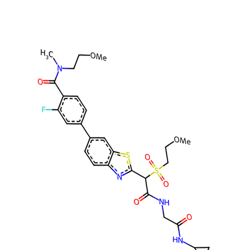 COCCN(C)C(=O)c1ccc(-c2ccc3nc(C(C(=O)NCC(=O)NC4CC4)S(=O)(=O)CCOC)sc3c2)cc1F